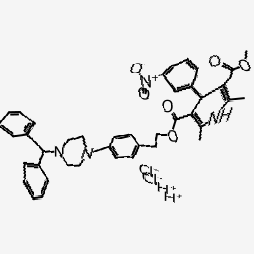 COC(=O)C1=C(C)NC(C)=C(C(=O)OCCc2ccc(N3CCN(C(c4ccccc4)c4ccccc4)CC3)cc2)C1c1cccc([N+](=O)[O-])c1.[Cl-].[Cl-].[H+].[H+]